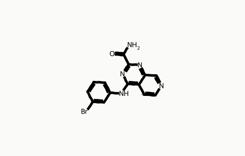 NC(=O)c1nc(Nc2cccc(Br)c2)c2[c]cncc2n1